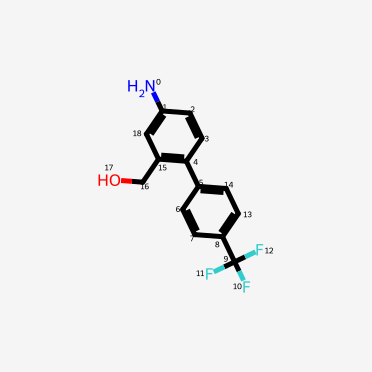 Nc1ccc(-c2ccc(C(F)(F)F)cc2)c(CO)c1